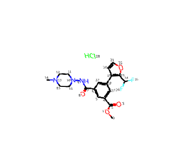 COC(=O)c1cc(C(=O)NN2CCN(C)CC2)cc(-c2ccoc2C(F)F)c1.Cl